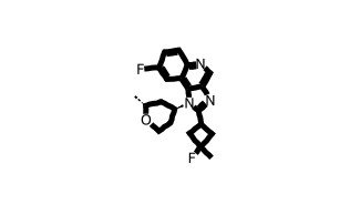 C[C@@H]1C[C@H](n2c(C3CC(C)(F)C3)nc3cnc4ccc(F)cc4c32)CCO1